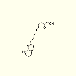 C[C@@H](CCOCCCCc1ccc2c(n1)NCCC2)C(=O)CO